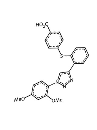 COc1ccc(-n2cc(-c3ccccc3Sc3ccc(C(=O)O)cc3)nn2)c(OC)c1